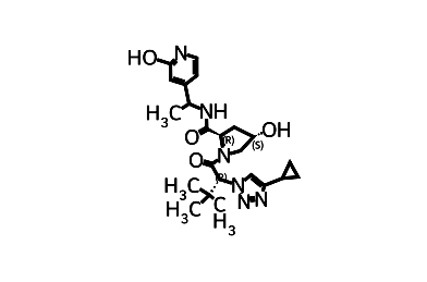 CC(NC(=O)[C@H]1C[C@H](O)CN1C(=O)[C@H](n1cc(C2CC2)nn1)C(C)(C)C)c1ccnc(O)c1